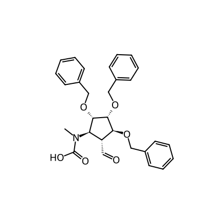 CN(C(=O)O)[C@@H]1[C@@H](C=O)[C@H](OCc2ccccc2)[C@@H](OCc2ccccc2)[C@H]1OCc1ccccc1